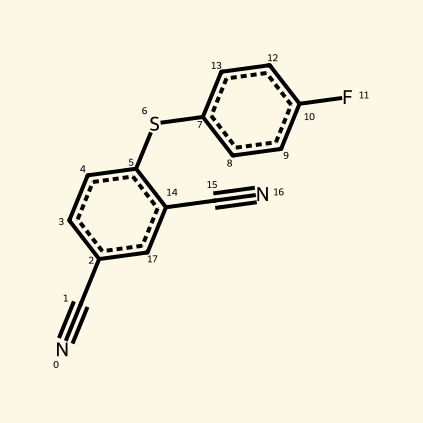 N#Cc1ccc(Sc2ccc(F)cc2)c(C#N)c1